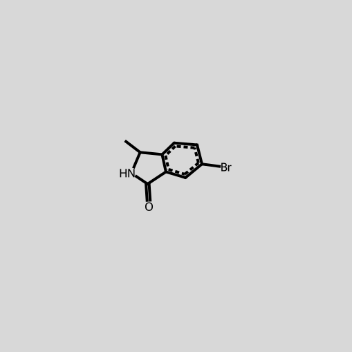 CC1NC(=O)c2cc(Br)ccc21